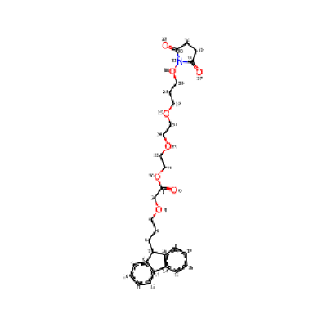 O=C(COC[CH]CC1c2ccccc2-c2ccccc21)OCCOCCOCCCON1C(=O)CCC1=O